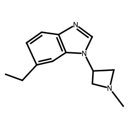 CCc1ccc2ncn(C3CN(C)C3)c2c1